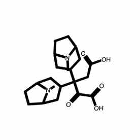 CN1C2CCC1CC(C(CC(=O)O)(C(=O)C(=O)O)C1CC3CCC(C1)N3C)C2